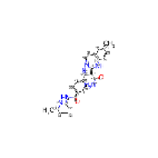 CC1=NC(NC(=O)c2ccc(-c3nn4c(c3C(N)=O)Nc3ccc(C)cc3CC4)cc2)CC=C1